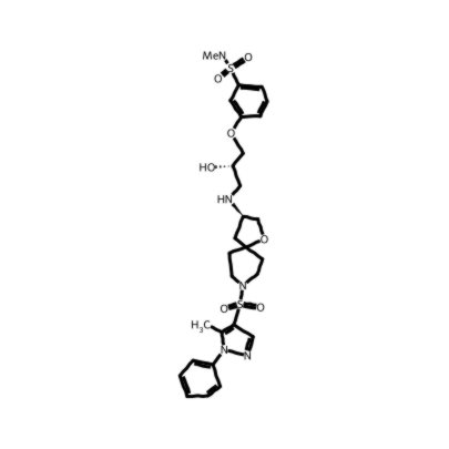 CNS(=O)(=O)c1cccc(OC[C@@H](O)CN[C@H]2COC3(CCN(S(=O)(=O)c4cnn(-c5ccccc5)c4C)CC3)C2)c1